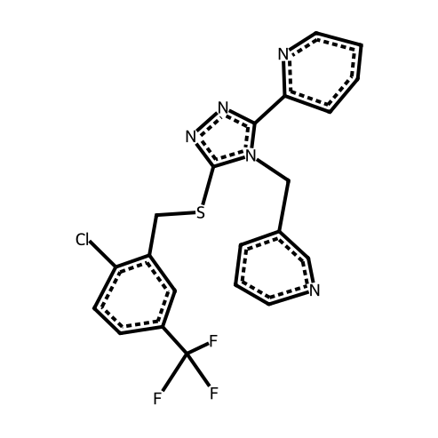 FC(F)(F)c1ccc(Cl)c(CSc2nnc(-c3ccccn3)n2Cc2cccnc2)c1